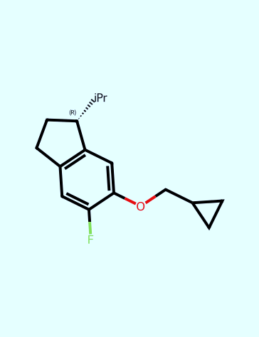 CC(C)[C@H]1CCc2cc(F)c(OCC3CC3)cc21